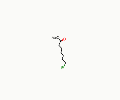 COC(=O)CCCCCCBr